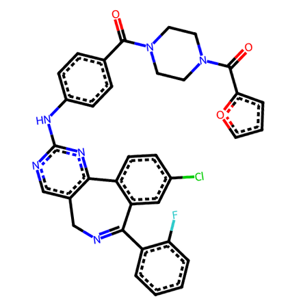 O=C(c1ccc(Nc2ncc3c(n2)-c2ccc(Cl)cc2C(c2ccccc2F)=NC3)cc1)N1CCN(C(=O)c2ccco2)CC1